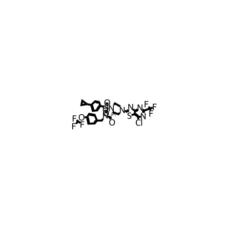 O=C(NCc1ccc(OC(F)(F)F)cc1)[C@H]1CN(c2nc3nc(C(F)(F)F)nc(Cl)c3s2)CCN1S(=O)(=O)c1ccc(C2CC2)cc1